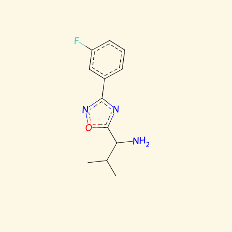 CC(C)C(N)c1nc(-c2cccc(F)c2)no1